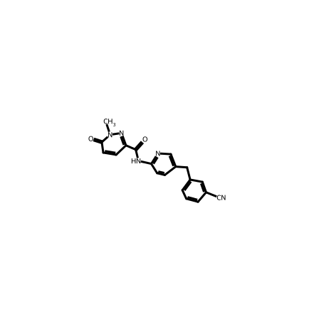 Cn1nc(C(=O)Nc2ccc(Cc3cccc(C#N)c3)cn2)ccc1=O